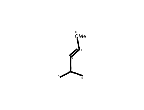 CO/C=C/C(C)C